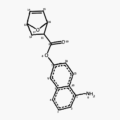 Nc1cccc2cc(OC(=O)C3CC4C=CC3O4)ccc12